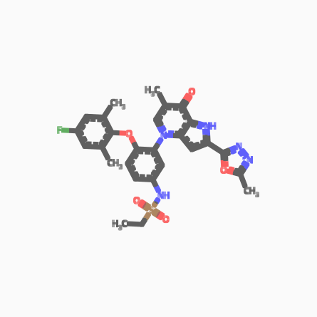 CCS(=O)(=O)Nc1ccc(Oc2c(C)cc(F)cc2C)c(-n2cc(C)c(=O)c3[nH]c(-c4nnc(C)o4)cc32)c1